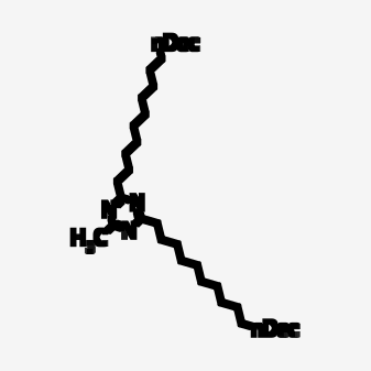 CCCCCCCCCCCCCCCCCCCCc1nc(C)nc(CCCCCCCCCCCCCCCCCCCC)n1